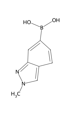 Cn1cc2ccc(B(O)O)cc2n1